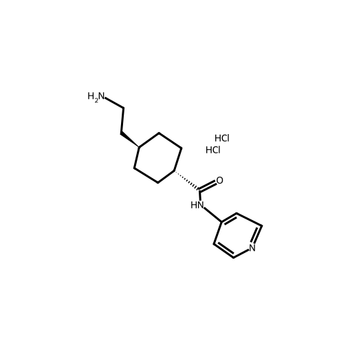 Cl.Cl.NCC[C@H]1CC[C@H](C(=O)Nc2ccncc2)CC1